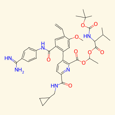 C=Cc1cc(C(=O)Nc2ccc(C(=N)N)cc2)c(-c2ccc(C(=O)NCC3CC3)nc2C(=O)OC(C)OC(=O)C(NC(=O)OC(C)(C)C)C(C)C)cc1OC